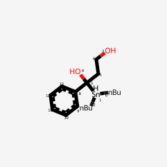 CCC[CH2][SnH]([CH2]CCC)[C](O)(CCO)c1ccccc1